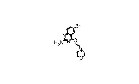 Nc1nc(OCCN2CCOCC2)c2cc(Br)ccc2n1